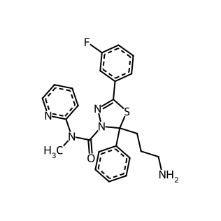 CN(C(=O)N1N=C(c2cccc(F)c2)SC1(CCCN)c1ccccc1)c1ccccn1